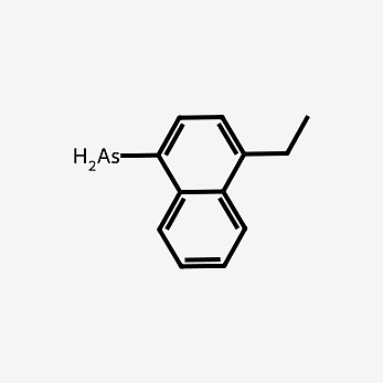 CCc1ccc([AsH2])c2ccccc12